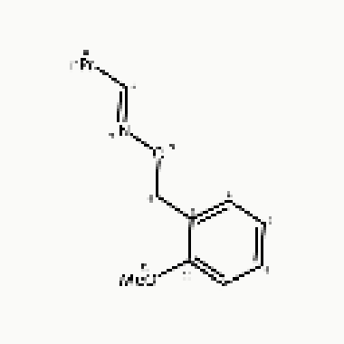 CCCC=NOCc1ccccc1OC